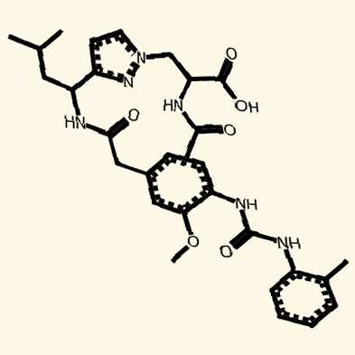 COc1cc(CC(=O)NC(CC(C)C)c2ccn(CC(NC(C)=O)C(=O)O)n2)ccc1NC(=O)Nc1ccccc1C